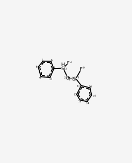 F[SiH](O[SiH](F)c1ccccc1)c1ccccc1